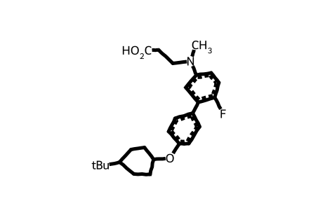 CN(CCC(=O)O)c1ccc(F)c(-c2ccc(OC3CCC(C(C)(C)C)CC3)cc2)c1